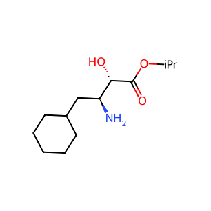 CC(C)OC(=O)[C@@H](O)[C@@H](N)CC1CCCCC1